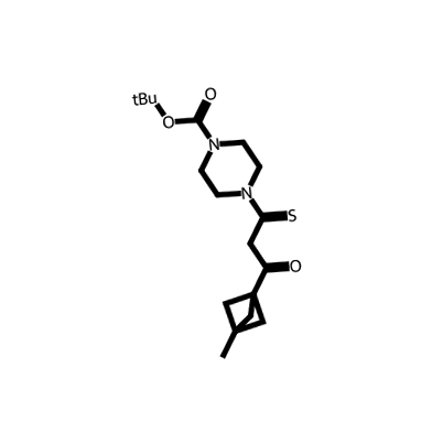 CC12CC(C(=O)CC(=S)N3CCN(C(=O)OC(C)(C)C)CC3)(C1)C2